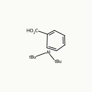 C[C](C)(C)[Al][C](C)(C)C.O=C(O)c1ccccc1